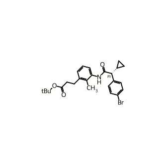 Cc1c(CCC(=O)OC(C)(C)C)cccc1NC(=O)[C@@H](c1ccc(Br)cc1)C1CC1